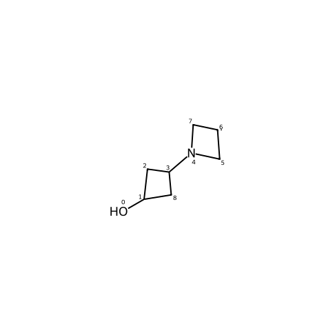 OC1CC(N2C[CH]C2)C1